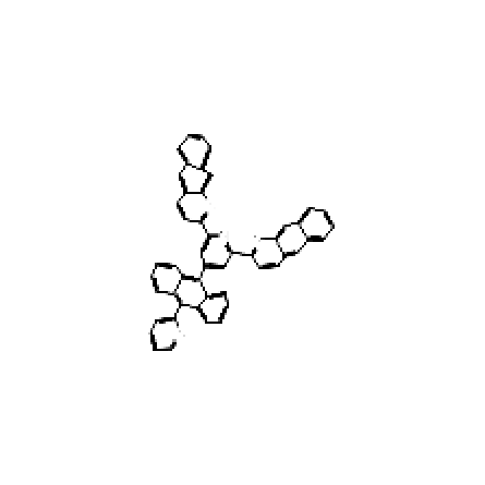 c1ccc(-c2c3ccccc3c(-c3cc(-c4ccc5cc6ccccc6cc5n4)nc(-c4ccc5cc6ccccc6cc5n4)c3)c3ccccc23)nc1